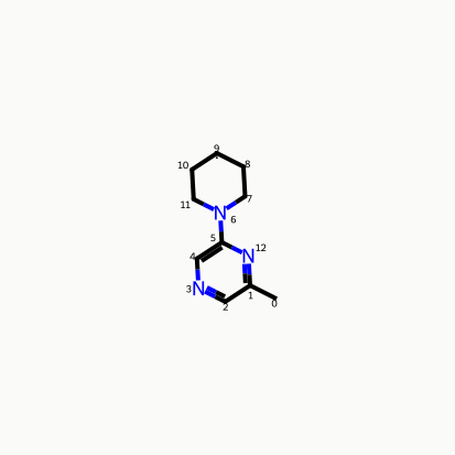 Cc1cncc(N2CC[CH]CC2)n1